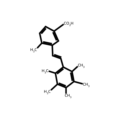 Cc1ccc(C(=O)O)cc1/C=C/c1c(C)c(C)c(C)c(C)c1C